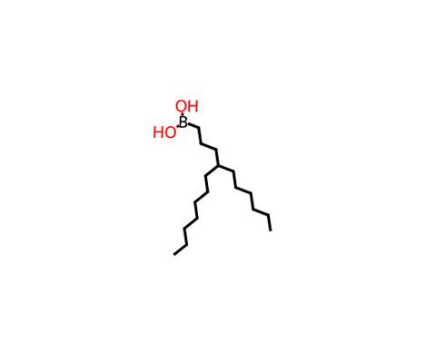 CCCCCCCC(CCCCCC)CCCB(O)O